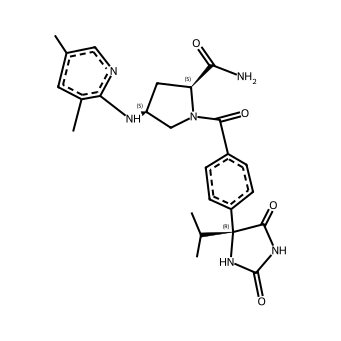 Cc1cnc(N[C@H]2C[C@@H](C(N)=O)N(C(=O)c3ccc([C@@]4(C(C)C)NC(=O)NC4=O)cc3)C2)c(C)c1